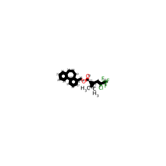 CC1(C)C(/C=C(\Cl)C(F)(F)F)[C@H]1C(=O)OCc1cccc2c1CCCc1ccccc1-2